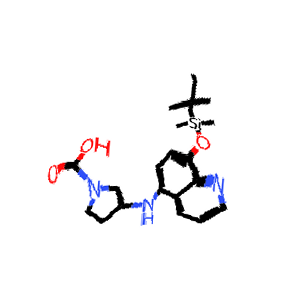 CC(C)(C)[Si](C)(C)Oc1ccc(NC2CCN(C(=O)O)C2)c2cccnc12